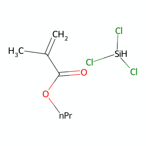 C=C(C)C(=O)OCCC.Cl[SiH](Cl)Cl